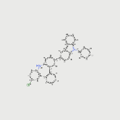 Clc1ccc2c(c1)-c1ccccc1-c1cc(-c3ccc4c(c3)c3ccccc3n4-c3ccccc3)ccc1N2